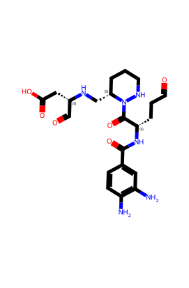 Nc1ccc(C(=O)N[C@@H](CCC=O)C(=O)N2NCCC[C@H]2CN[C@H](C=O)CC(=O)O)cc1N